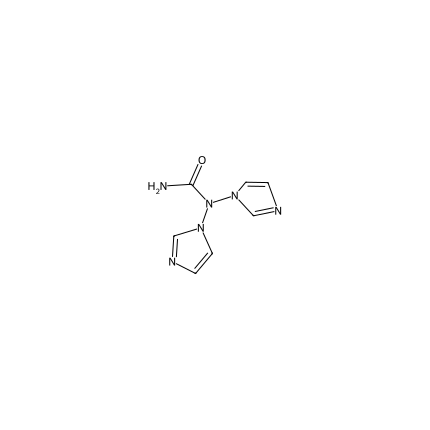 NC(=O)N(n1ccnc1)n1ccnc1